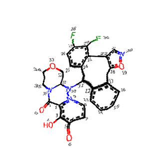 O=C1c2c(O)c(=O)ccn2N(C2c3ccccc3-c3oncc3-c3c2ccc(F)c3F)C2COCCN12